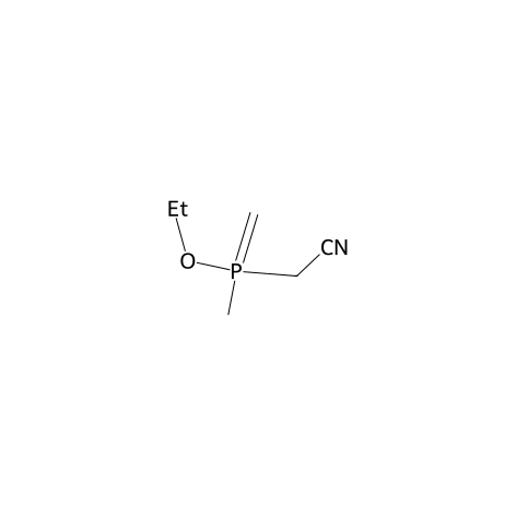 C=P(C)(CC#N)OCC